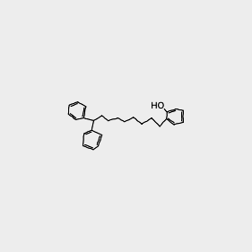 Oc1ccccc1CCCCCCCCC(c1ccccc1)c1ccccc1